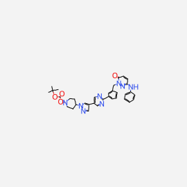 CC(C)(C)OC(=O)ON1CCC(n2cc(-c3cnc(-c4cccc(Cn5nc(Nc6ccccc6)ccc5=O)c4)nc3)cn2)CC1